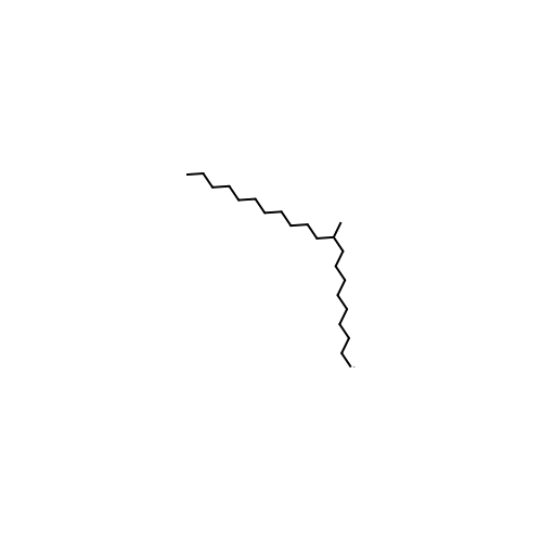 [CH2]CCCCCCCCC(C)CCCCCCCCCCC